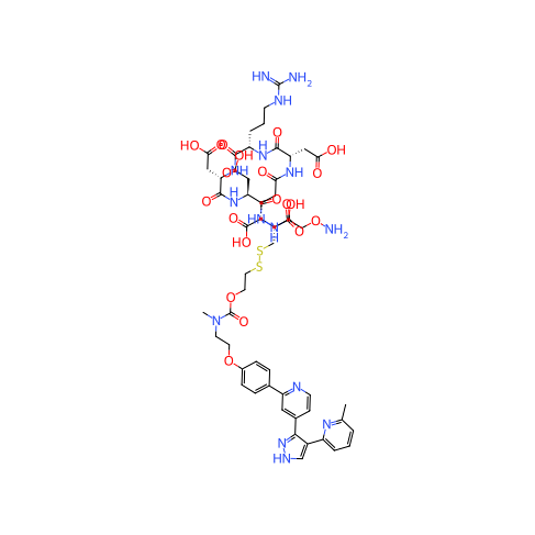 Cc1cccc(-c2c[nH]nc2-c2ccnc(-c3ccc(OCCN(C)C(=O)OCCSSC[C@H](NC(=O)[C@H](CC(=O)O)NC(=O)[C@H](CC(=O)O)NC(=O)[C@H](CCCNC(=N)N)NC(=O)[C@H](CC(=O)O)NC(=O)CC[C@H](NC(=O)CON)C(=O)O)C(=O)O)cc3)c2)n1